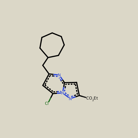 CCOC(=O)c1cc2nc(CC3CCCCCC3)cc(Cl)n2n1